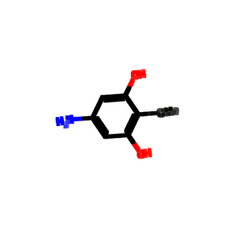 COc1c(O)cc(N)cc1O